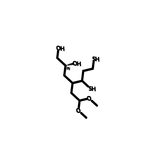 COC(CC(C[C@@H](O)CO)C(S)CCS)OC